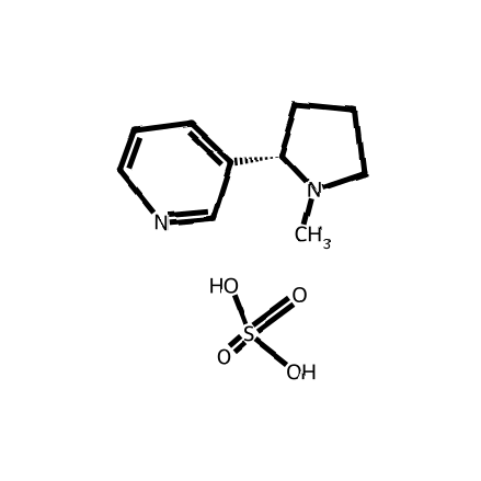 CN1CCC[C@H]1c1cccnc1.O=S(=O)(O)O